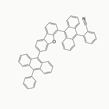 N#Cc1ccccc1-c1c2ccccc2c(-c2cccc3c2oc2cc(-c4c5ccccc5c(-c5ccccc5)c5ccccc45)ccc23)c2ccccc12